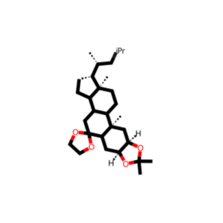 CC(C)C[C@@H](C)[C@H]1CCC2C3CC4(OCCO4)C4C[C@@H]5OC(C)(C)O[C@@H]5C[C@]4(C)C3CC[C@@]21C